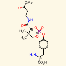 COC(=O)CCNC(=O)[C@@H]1O[P@](=O)(Oc2ccc(C[C@H](N)C(=O)O)cc2)OCC1(C)C